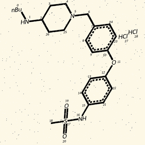 CCCCNC1CCN(Cc2ccc(Oc3ccc(NS(C)(=O)=O)cc3)cc2)CC1.Cl.Cl